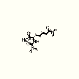 CN(C)C(=O)/C=C/CC[C@H](NC(=O)N(C)C)C(=O)O